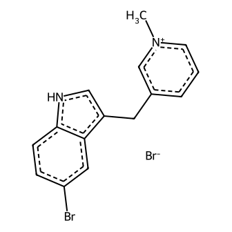 C[n+]1cccc(Cc2c[nH]c3ccc(Br)cc23)c1.[Br-]